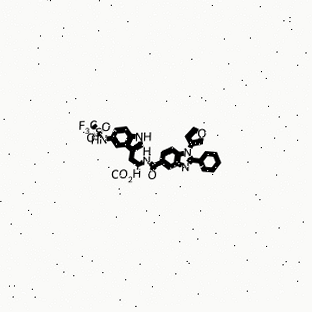 O=C(N[C@@H](Cc1c[nH]c2ccc(NS(=O)(=O)C(F)(F)F)cc12)C(=O)O)c1ccc2c(c1)nc(C1CCCCC1)n2-c1ccoc1